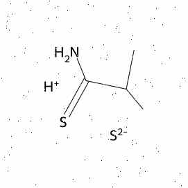 CC(C)C(N)=S.[H+].[S-2]